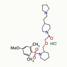 COc1cc(C)c(S(=O)(=O)N2CCCCC2COCC(=O)N2CCC(CCN3CCCC3)CC2)c(C)c1.Cl